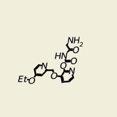 CCOc1ccnc(COc2cccnc2OC(=O)NC(=O)CN)c1